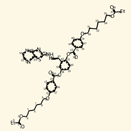 CCC(=O)OCCCCCCOc1ccc(C(=O)Oc2ccc(OC(=O)c3ccc(OCCCCCCOC(=O)CC)cc3)c(/C=N/Nc3nc4nccnc4s3)c2)cc1